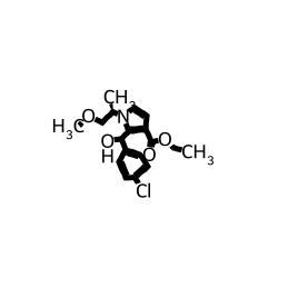 CCOC(=O)c1ccn([C@H](C)COC)c1C(O)c1ccc(Cl)cc1